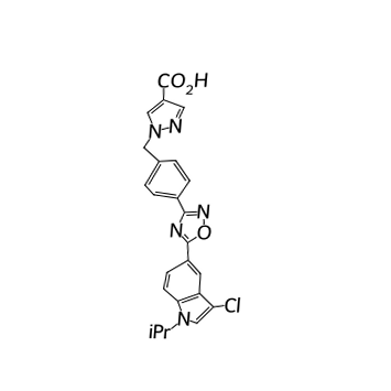 CC(C)n1cc(Cl)c2cc(-c3nc(-c4ccc(Cn5cc(C(=O)O)cn5)cc4)no3)ccc21